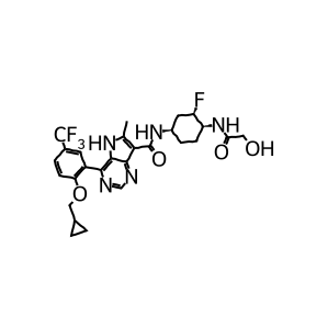 Cc1[nH]c2c(-c3cc(C(F)(F)F)ccc3OCC3CC3)ncnc2c1C(=O)N[C@@H]1CC[C@H](NC(=O)CO)[C@H](F)C1